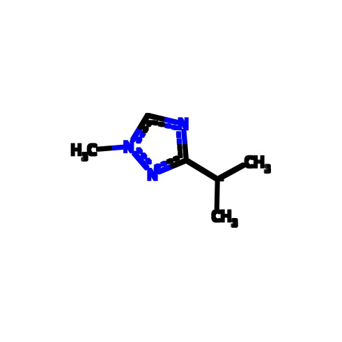 C[C](C)c1ncn(C)n1